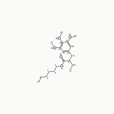 CCCCCCOC(=O)C(CC)Cc1cc(OC)c(OC)c(OC)c1